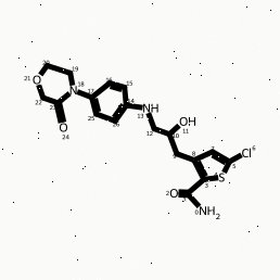 NC(=O)c1sc(Cl)cc1CC(O)CNc1ccc(N2CCOCC2=O)cc1